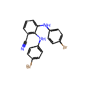 N#Cc1cccc(Nc2ccc(Br)cc2)c1Nc1ccc(Br)cc1